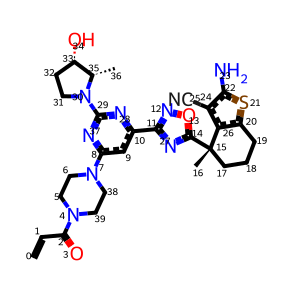 C=CC(=O)N1CCN(c2cc(-c3noc([C@@]4(C)CCCc5sc(N)c(C#N)c54)n3)nc(N3CC[C@H](O)[C@@H]3C)n2)CC1